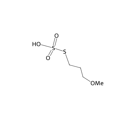 COCCCSS(=O)(=O)O